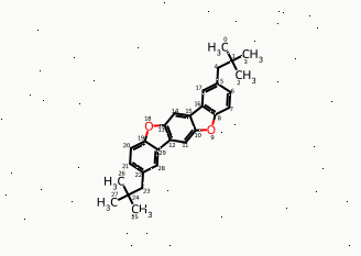 CC(C)(C)Cc1ccc2oc3cc4c(cc3c2c1)oc1ccc(CC(C)(C)C)cc14